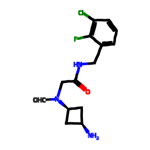 N[C@H]1C[C@@H](N(C=O)CC(=O)NCc2cccc(Cl)c2F)C1